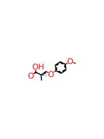 COc1ccc(O/C=C(\C)C(=O)O)cc1